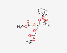 COC(=O)COCC(COC(=O)C12CC3CC(C1)C(OC(C)=O)C(C3)C2)OCC(=O)OC